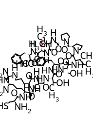 CC[C@H](C)[C@H](NC(=O)[C@@H]1CCCN1C(=O)[C@@H]1CCCN1C(=O)[C@@H](NC(=O)[C@H](CO)NC(=O)[C@H](Cc1ccc(O)cc1)NC(=O)[C@@H](NC(=O)[C@H](C)NC(=O)[C@H](CCCNC(=N)N)NC(=O)[C@H](CCCCN)NC(=O)[C@@H](N)CS)[C@@H](C)O)[C@@H](C)CC)C(=O)N[C@@H](CS)C(=O)N[C@@H](Cc1ccccc1)C(=O)O